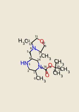 CC1CN[C@@H](CN2C(C)COC[C@H]2C)CN1C(=O)OC(C)(C)C